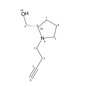 C#CCCN1CCC[C@H]1CO